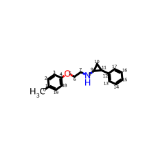 Cc1ccc(OCCNC2CC2c2ccccc2)cc1